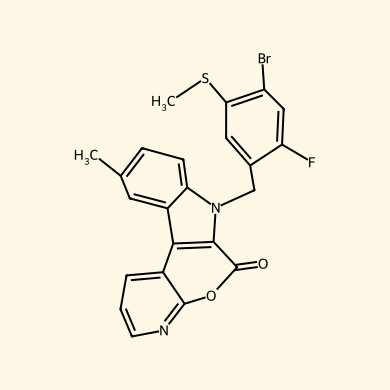 CSc1cc(Cn2c3ccc(C)cc3c3c4cccnc4oc(=O)c32)c(F)cc1Br